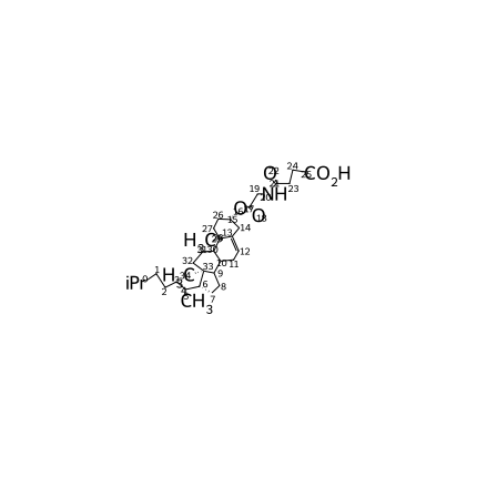 CC(C)CCC[C@@H](C)[C@H]1CCC2C3CC=C4C[C@@H](OC(=O)CNC(=O)CCC(=O)O)CC[C@]4(C)C3CC[C@@]21C